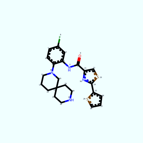 O=C(Nc1cc(F)ccc1N1CCCC2(CCNCC2)C1)c1csc(-c2cccs2)n1